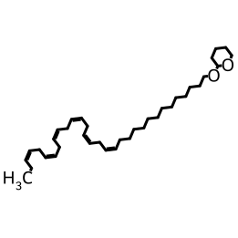 CC/C=C\C/C=C\C/C=C\C/C=C\C/C=C\C/C=C\CCCCCCCCCCCCCOC1CCCCO1